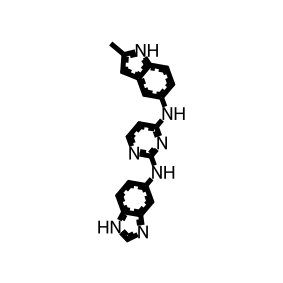 Cc1cc2cc(Nc3ccnc(Nc4ccc5[nH]cnc5c4)n3)ccc2[nH]1